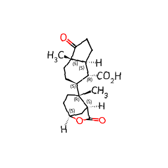 C[C@]1([C@H]2CC[C@]3(C)C(=O)CC[C@H]3[C@@H]2C(=O)O)CC[C@H]2C[C@@H]1C(=O)O2